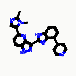 Cc1ncc(-c2ccc3[nH]nc(-c4nc5c(-c6ccncc6)cccc5[nH]4)c3n2)n1C